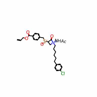 C=CCOC(=O)c1ccc(C[S+]([O-])C2C[N+](CCCCCCc3ccc(Cl)cc3)(NC(C)=O)C2=O)cc1